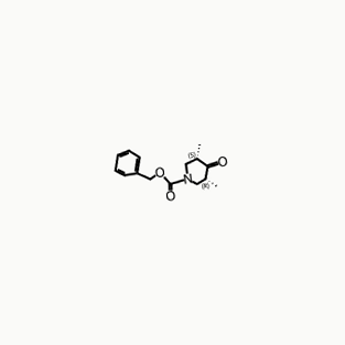 C[C@@H]1CN(C(=O)OCc2ccccc2)C[C@H](C)C1=O